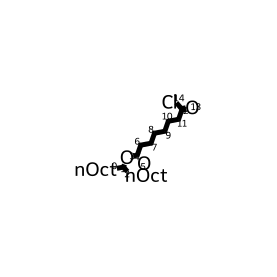 CCCCCCCCC(CCCCCCCC)OC(=O)CCCCCCC(=O)Cl